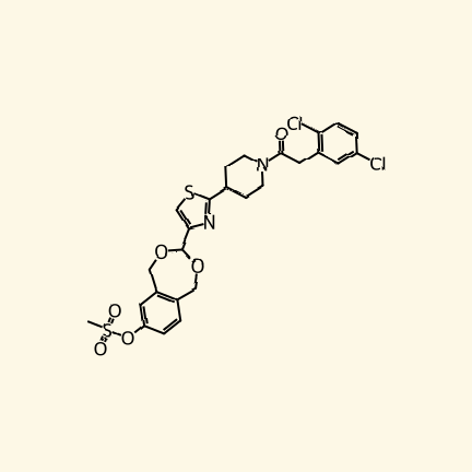 CS(=O)(=O)Oc1ccc2c(c1)COC(c1csc(C3CCN(C(=O)Cc4cc(Cl)ccc4Cl)CC3)n1)OC2